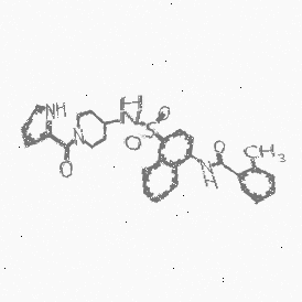 Cc1ccccc1C(=O)Nc1ccc(S(=O)(=O)NC2CCN(C(=O)c3ccc[nH]3)CC2)c2ccccc12